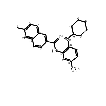 Cc1ccc2cc(C(=O)Nc3cc(C(=O)O)ccc3NC3CCCCC3)ccc2n1